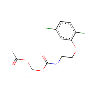 CCC(=O)O[C@H](OC(=O)NC[C@H](Oc1cc(Cl)ccc1Cl)C(=O)O)C(C)C